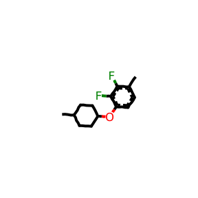 Cc1ccc(OC2CCC(C)CC2)c(F)c1F